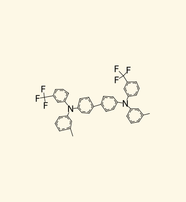 Cc1cccc(N(c2ccc(-c3ccc(N(c4cccc(C)c4)c4cccc(C(F)(F)F)c4)cc3)cc2)c2cccc(C(F)(F)F)c2)c1